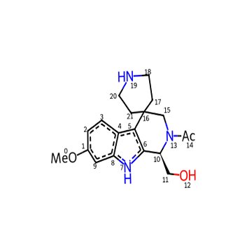 COc1ccc2c3c([nH]c2c1)[C@H](CO)N(C(C)=O)CC31CCNCC1